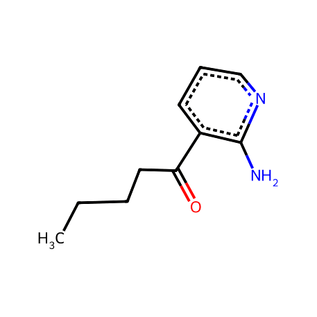 CCCCC(=O)c1cccnc1N